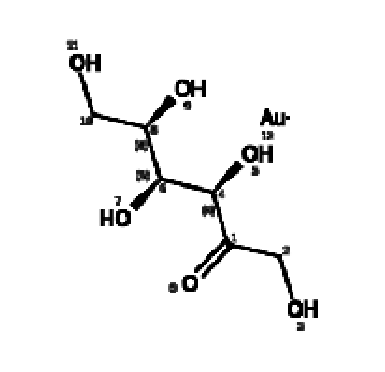 O=C(CO)[C@H](O)[C@@H](O)[C@H](O)CO.[Au]